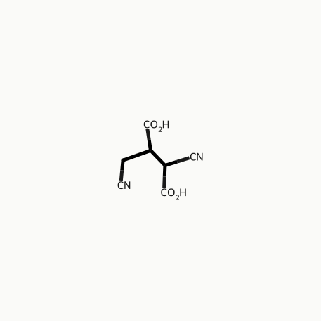 N#CCC(C(=O)O)C(C#N)C(=O)O